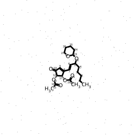 CCCCCC(C=CC1=CC(=O)[C@H](OC(C)=O)[C@H]1OC(C)=O)OC1CCCCO1